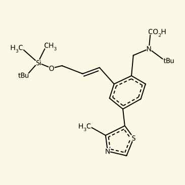 Cc1ncsc1-c1ccc(CN(C(=O)O)C(C)(C)C)c(/C=C/CO[Si](C)(C)C(C)(C)C)c1